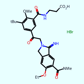 Br.CCOc1cc2c(cc1C(=O)NC)C(=N)N(CC(=O)c1cc(C(=O)NCCC(=O)O)c(OC)c(C(C)(C)C)c1)C2